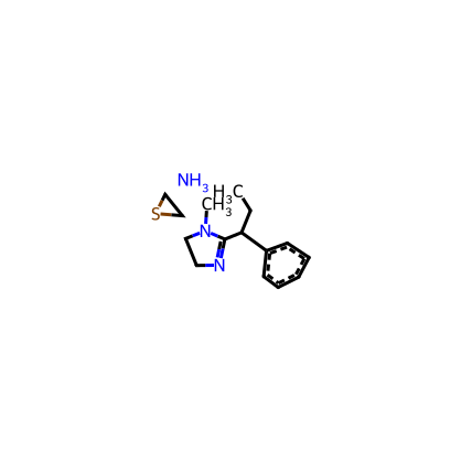 C1CS1.CCC(C1=NCCN1C)c1ccccc1.N